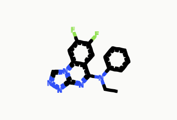 CCN(c1ccccc1)c1nc2nncn2c2cc(F)c(F)cc12